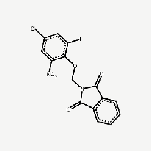 O=C1c2ccccc2C(=O)N1COc1c(F)cc(Cl)cc1[N+](=O)[O-]